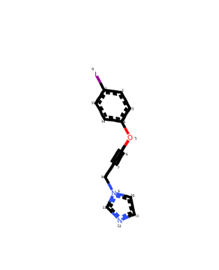 Ic1ccc(OC#CCn2ccnc2)cc1